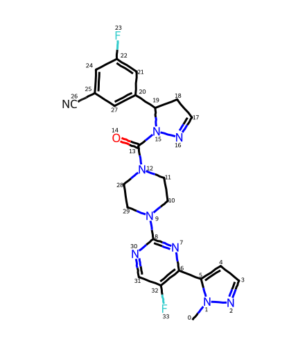 Cn1nccc1-c1nc(N2CCN(C(=O)N3N=CCC3c3cc(F)cc(C#N)c3)CC2)ncc1F